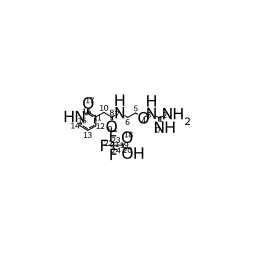 N=C(N)NOCCNC(=O)Cc1ccc[nH]c1=O.O=C(O)C(F)(F)F